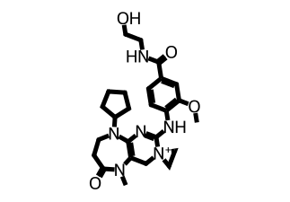 COc1cc(C(=O)NCCO)ccc1NC1=NC2=C(C[N+]13CC3)N(C)C(=O)CCN2C1CCCC1